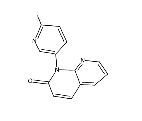 Cc1ccc(-n2c(=O)ccc3cccnc32)cn1